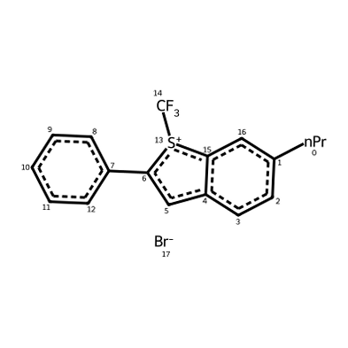 CCCc1ccc2cc(-c3ccccc3)[s+](C(F)(F)F)c2c1.[Br-]